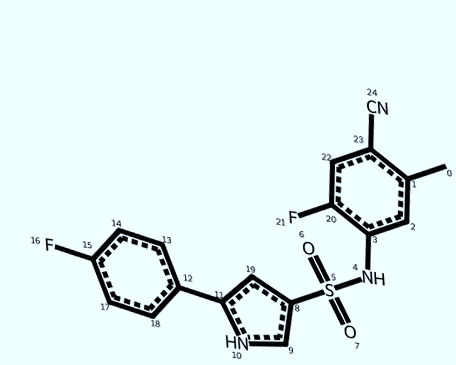 Cc1cc(NS(=O)(=O)c2c[nH]c(-c3ccc(F)cc3)c2)c(F)cc1C#N